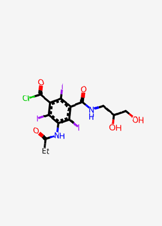 CCC(=O)Nc1c(I)c(C(=O)Cl)c(I)c(C(=O)NCC(O)CO)c1I